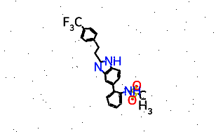 CS(=O)(=O)Nc1ccccc1-c1ccc2[nH]c(CCc3ccc(C(F)(F)F)cc3)nc2c1